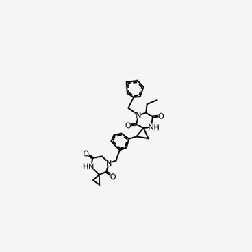 CCC1C(=O)NC2(CC2c2cccc(CN3CC(=O)NC4(CC4)C3=O)c2)C(=O)N1Cc1ccccc1